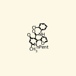 CCCCCn1c(C)cc(=O)c(C(=O)Nc2ccccc2Cl)c1-c1ccco1